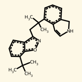 CC(C)(C)c1cccc2c(CC(C)(C)c3cccc4c3C=CNC4)noc12